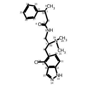 C[C@@H](CC(=O)NC[C@H](Cc1ccc2[nH]ncc2c1Cl)N(C)C)c1ccccc1